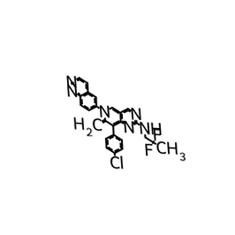 C=C1C(c2ccc(Cl)cc2)=c2nc(NCC(C)(F)F)ncc2=CN1c1ccc2nnccc2c1